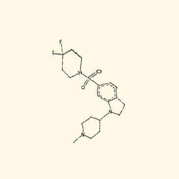 CN1CCC(N2CCc3ccc(S(=O)(=O)N4CCC(F)(F)CC4)cc32)CC1